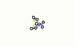 c1ccc(N(c2ccccc2)c2nc3c(-c4cccc5c4sc4ccccc45)ccc(-c4cccc5c4sc4ccccc45)c3s2)cc1